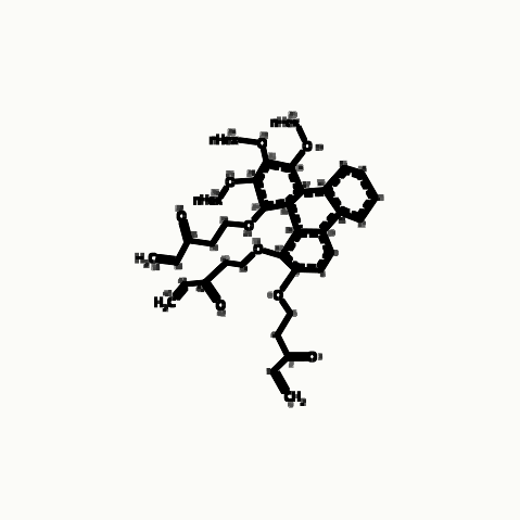 C=CC(=O)CCOc1ccc2c3ccccc3c3c(OCCCCCC)c(OCCCCCC)c(OCCCCCC)c(OCCC(=O)C=C)c3c2c1OCCC(=O)C=C